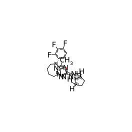 Cc1cc(N2C[C@H]3CC[C@@H](C2)[C@@H]3Nc2nc3n(n2)CCCC[C@@H]3c2ccc(F)c(F)c2F)ncn1